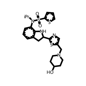 CC(C)N(c1cccc2c1NC(c1ncc(CN3CCC(O)CC3)s1)C2)S(=O)(=O)c1cccs1